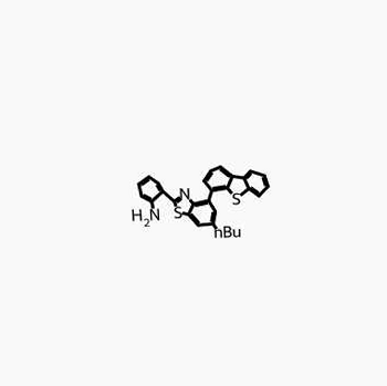 CCCCc1cc(-c2cccc3c2sc2ccccc23)c2nc(-c3ccccc3N)sc2c1